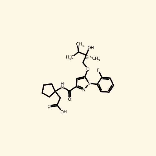 CC(C)[C@@](C)(O)COc1cc(C(=O)NC2(CC(=O)O)CCCC2)nn1-c1ccccc1F